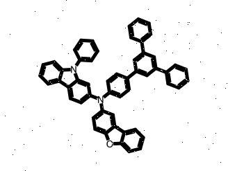 c1ccc(-c2cc(-c3ccccc3)cc(-c3ccc(N(c4ccc5oc6ccccc6c5c4)c4ccc5c6ccccc6n(-c6ccccc6)c5c4)cc3)c2)cc1